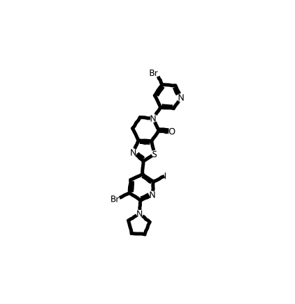 O=C1c2sc(-c3cc(Br)c(N4CCCC4)nc3I)nc2CCN1c1cncc(Br)c1